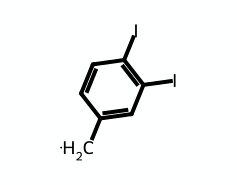 [CH2]c1ccc(I)c(I)c1